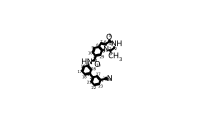 CC1CNC(=O)c2cc3ccc(C(=O)Nc4cccc(-c5cccc(C#N)c5)c4)cc3n21